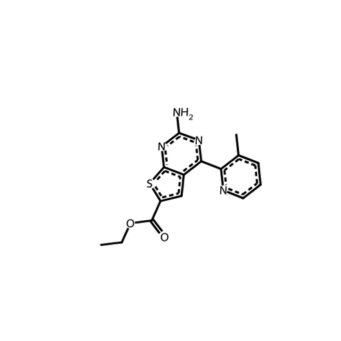 CCOC(=O)c1cc2c(-c3ncccc3C)nc(N)nc2s1